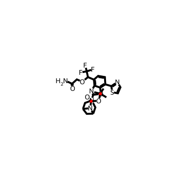 CC(C)(C)OC(=O)N1C2CC1CN(c1nc3c(C(OCC(N)=O)C(F)(F)F)ccc(-c4nccs4)c3o1)C2